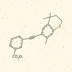 CCOC(=O)c1cccc(C#Cc2cc3c(cc2C)SCCC3(C)C)c1